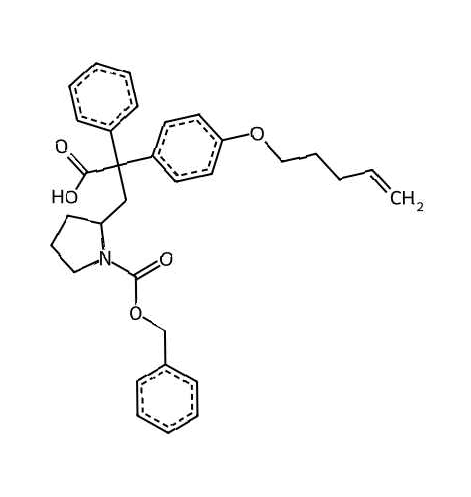 C=CCCCOc1ccc(C(CC2CCCN2C(=O)OCc2ccccc2)(C(=O)O)c2ccccc2)cc1